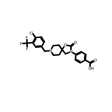 O=C(O)c1ccc(N2CC3(CCN(Cc4ccc(Cl)c(C(F)(F)F)c4)CC3)OC2=O)cc1